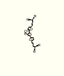 COc1cc(-c2ccc(/C=C/C=C(C#N)C#N)o2)sc1-c1ccc(/C=C/C=C(C#N)C#N)o1